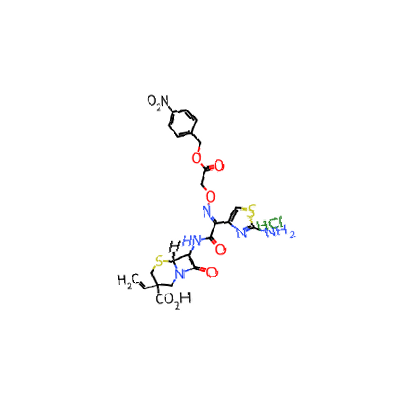 C=CC1(C(=O)O)CS[C@@H]2C(NC(=O)C(=NOCC(=O)OCc3ccc([N+](=O)[O-])cc3)c3csc(N)n3)C(=O)N2C1.Cl